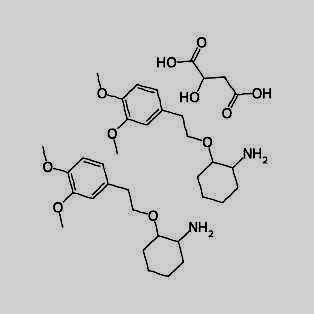 COc1ccc(CCOC2CCCCC2N)cc1OC.COc1ccc(CCOC2CCCCC2N)cc1OC.O=C(O)CC(O)C(=O)O